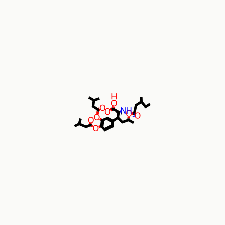 CCC(C)CC(=O)OC(C)CC(c1ccc(OC(=O)CC(C)C)c(OC(=O)CC(C)C)c1)[C@H](N)C(=O)O